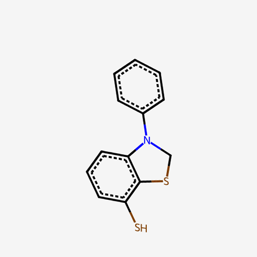 Sc1cccc2c1SCN2c1ccccc1